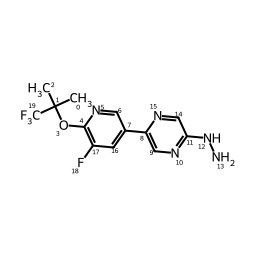 CC(C)(Oc1ncc(-c2cnc(NN)cn2)cc1F)C(F)(F)F